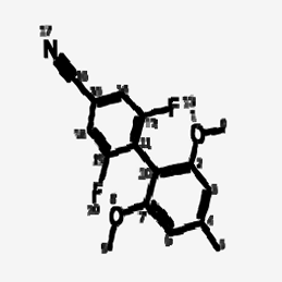 COc1cc(C)cc(OC)c1-c1c(F)cc(C#N)cc1F